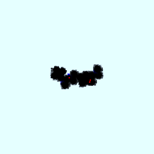 c1ccc(C2(c3ccccc3)c3ccccc3-c3cc4c(cc32)c2cc3c(c5cccc6c7c(-c8ccc9c(c8)-c8ccc%10c%11cc%12c(c%13cccc%14c%15ccccc%15n%12c%14%13)c%12c%13ccccc%13n(c%10c8C9(c8ccccc8)c8ccccc8)c%11%12)cccc7n3c65)c3c5ccccc5n4c23)cc1